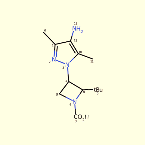 Cc1nn(C2CN(C(=O)O)C2C(C)(C)C)c(C)c1N